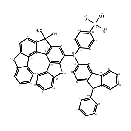 CC1(C)c2ccc3oc4ccccc4c3c2-c2c1cc(N(c1ccc([Si](C)(C)C)cc1)c1ccc3c(c1)-c1ccccc1C3c1ccccc1)c1oc3ccccc3c21